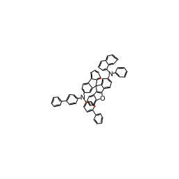 c1ccc(-c2ccc(N(c3ccc(-c4ccccc4)cc3)c3ccc4c(c3)C3(c5ccccc5-4)c4cc(N(c5ccccc5)c5cccc6ccccc56)ccc4-c4oc5ccccc5c43)cc2)cc1